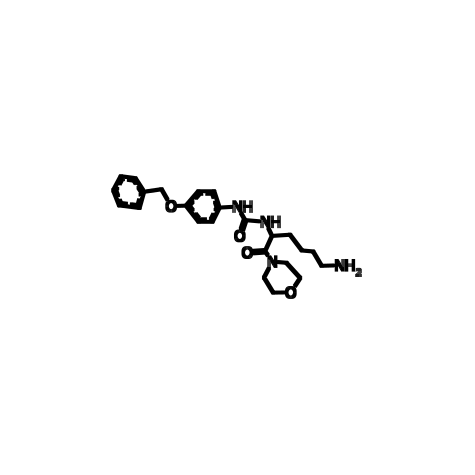 NCCCCC(NC(=O)Nc1ccc(OCc2ccccc2)cc1)C(=O)N1CCOCC1